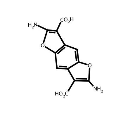 Nc1oc2cc3c(C(=O)O)c(N)oc3cc2c1C(=O)O